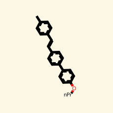 CCCOc1ccc(-c2ccc(C=Cc3ccc(C)cc3)cc2)cc1